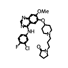 COc1cc2ncnc(Nc3ccc(F)c(Cl)c3)c2cc1OC1CCN(CCCN2CCCC2=O)CC1